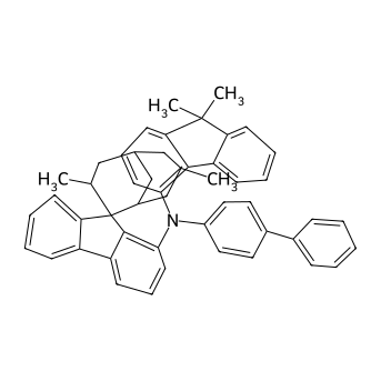 CC1CC2CC(C)C3(c4ccccc4-c4cccc(N(c5ccc(-c6ccccc6)cc5)c5cccc6c5-c5ccccc5C6(C)C)c43)C(C1)C2